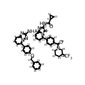 CC(=O)Nc1nc2cccc(-c3ccc(OCc4ccccc4)cc3)n2n1.O=C(Nc1nc2cccc(-c3ccc(C(=O)N4CCCC(C(F)(F)F)C4)cc3)n2n1)C1CC1